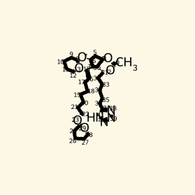 CC(=O)O[C@H]1C[C@@H](OC2CCCCO2)[C@H](C=CCCCCCCOC2CCCCO2)[C@H]1CCCCCCc1nnn[nH]1